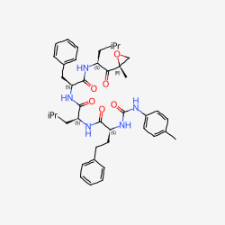 Cc1ccc(NC(=O)N[C@@H](CCc2ccccc2)C(=O)N[C@@H](CC(C)C)C(=O)N[C@@H](Cc2ccccc2)C(=O)N[C@@H](CC(C)C)C(=O)[C@@]2(C)CO2)cc1